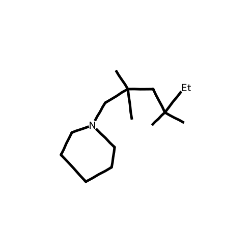 CCC(C)(C)CC(C)(C)CN1CCCCC1